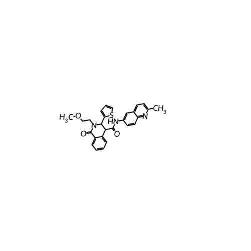 COCCN1C(=O)c2ccccc2C(C(=O)Nc2ccc3nc(C)ccc3c2)C1c1cccs1